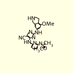 COc1cc(Nc2ncc(C#N)c(Nc3cccc(N=S(C)(C)=O)n3)n2)cc2c1CCNC2